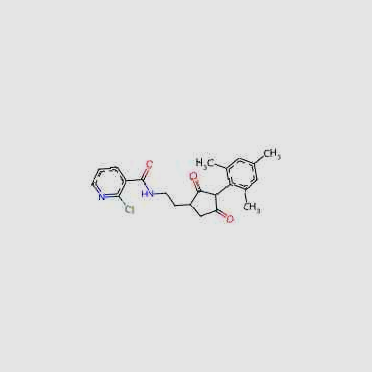 Cc1cc(C)c(C2C(=O)CC(CCNC(=O)c3cccnc3Cl)C2=O)c(C)c1